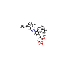 COC(OC)C1CCN(c2ccc([C@H]3c4ccc(O)cc4OC[C@H]3c3ccc(F)c(C)c3)cc2F)CC1